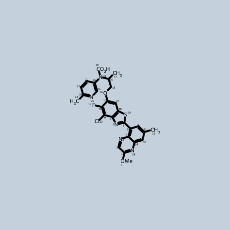 COc1cnc2c(-c3nc4c(Cl)c(F)c(OCC(C)N(C(=O)O)c5ccc(C)nc5)cc4s3)cc(C)cc2n1